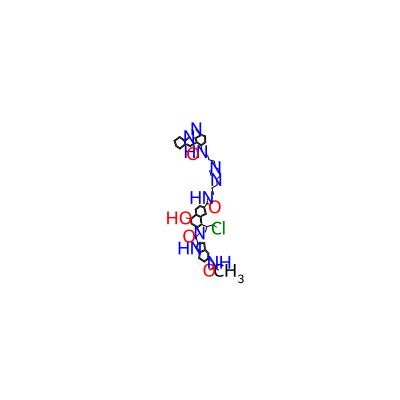 CC(=O)Nc1ccc2[nH]c(C(=O)N3CC(CCl)c4c3cc(O)c3ccc(C(=O)NCCCN5CCN(CCCNc6ccc7ncn8c9ccccc9c(=O)c6c78)CC5)cc43)cc2c1